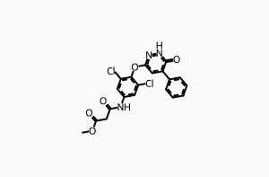 COC(=O)CC(=O)Nc1cc(Cl)c(Oc2cc(-c3ccccc3)c(=O)[nH]n2)c(Cl)c1